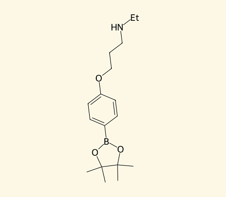 CCNCCCOc1ccc(B2OC(C)(C)C(C)(C)O2)cc1